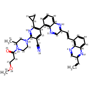 C=Cc1cnc2c(C=Cc3cnc4c(-c5cc(C#N)c(N6CCN(C(=O)CCOC)C(C)C6)nc5C5CC5)cccc4n3)cccc2n1